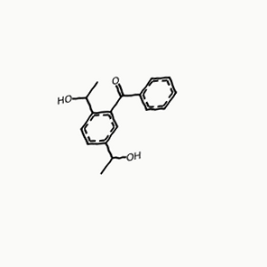 CC(O)c1ccc(C(C)O)c(C(=O)c2ccccc2)c1